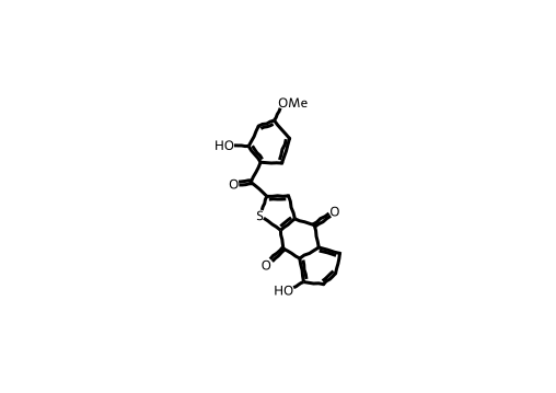 COc1ccc(C(=O)c2cc3c(s2)C(=O)c2c(O)cccc2C3=O)c(O)c1